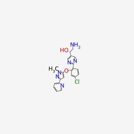 Cn1nc(-c2ccccn2)cc1Oc1cc(Cl)ccc1-c1ncc([C@H](O)CN)cn1